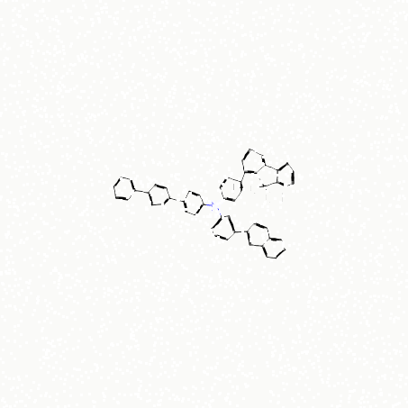 CC1(C)c2ccccc2-c2cccc(-c3ccc(N(c4ccc(-c5ccc(-c6ccccc6)cc5)cc4)c4cccc(-c5ccc6ccccc6c5)c4)cc3)c21